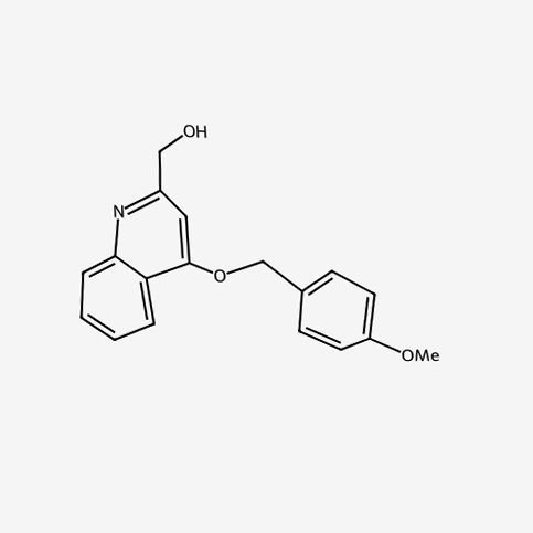 COc1ccc(COc2cc(CO)nc3ccccc23)cc1